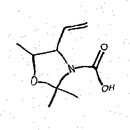 C=CC1C(C)OC(C)(C)N1C(=O)O